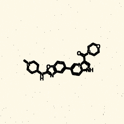 CN1CCC(Nc2nc3cc(C4=CN5C(C(=O)N6CCOCC6)=CNC5C=C4)ccc3o2)CC1